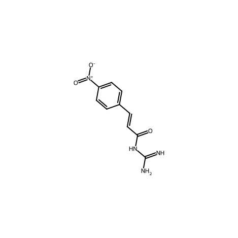 N=C(N)NC(=O)/C=C/c1ccc([N+](=O)[O-])cc1